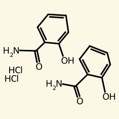 Cl.Cl.NC(=O)c1ccccc1O.NC(=O)c1ccccc1O